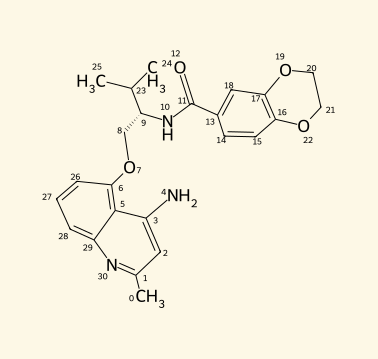 Cc1cc(N)c2c(OC[C@@H](NC(=O)c3ccc4c(c3)OCCO4)C(C)C)cccc2n1